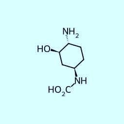 N[C@@H]1CC[C@@H](NC(=O)O)C[C@H]1O